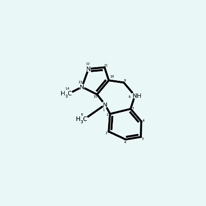 CN1c2ccccc2NCc2cnn(C)c21